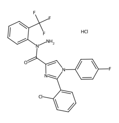 Cl.NN(C(=O)c1cn(-c2ccc(F)cc2)c(-c2ccccc2Cl)n1)c1ccccc1C(F)(F)F